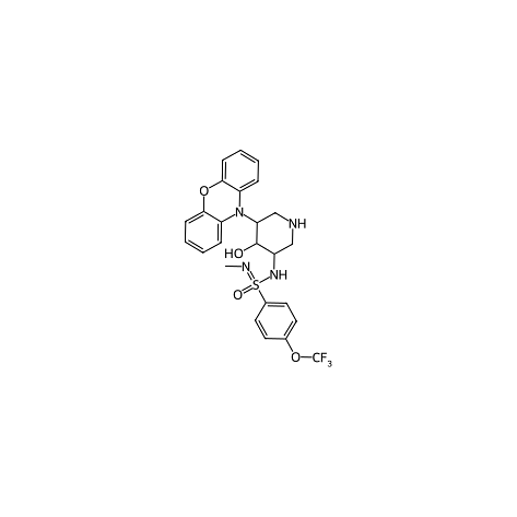 CN=S(=O)(NC1CNCC(N2c3ccccc3Oc3ccccc32)C1O)c1ccc(OC(F)(F)F)cc1